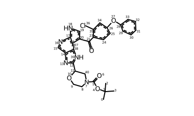 CC(C)(C)OC(=O)N1CCOC(c2nc3cnc4[nH]cc(C(=O)c5ccc(Oc6ccccc6)cc5Cl)c4c3[nH]2)C1